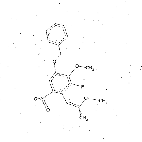 COC(C)=Cc1c([N+](=O)[O-])cc(OCc2ccccc2)c(OC)c1F